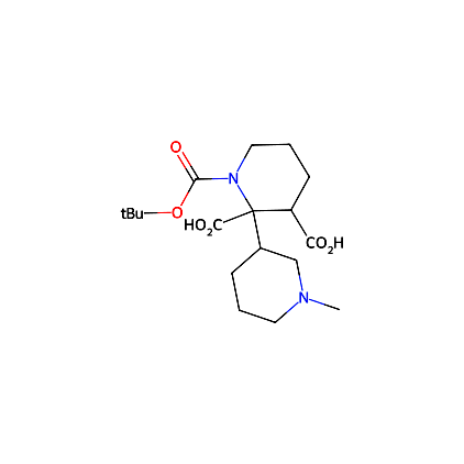 CN1CCCC(C2(C(=O)O)C(C(=O)O)CCCN2C(=O)OC(C)(C)C)C1